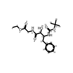 CCOC(=O)CNC(=O)C(O)C(Cc1ccccc1)NC(=O)OC(C)(C)C